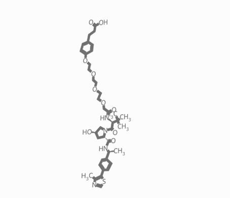 Cc1ncsc1-c1ccc([C@H](C)NC(=O)[C@@H]2C[C@@H](O)CN2C(=O)[C@@H](NC(=O)COCCOCCOCCOc2ccc(CCC(=O)O)cc2)C(C)(C)C)cc1